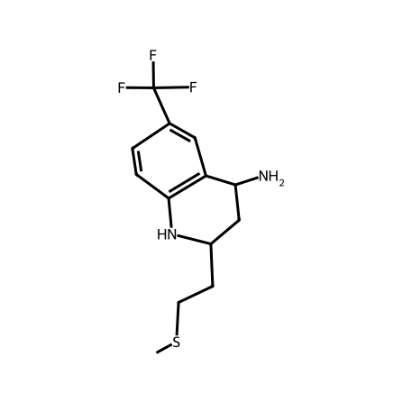 CSCCC1CC(N)c2cc(C(F)(F)F)ccc2N1